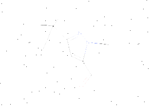 Cn1nc(C(C)(C)C)cc1C=O